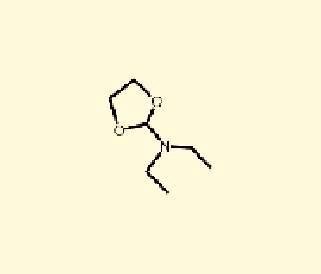 CCN(CC)[C]1OCCO1